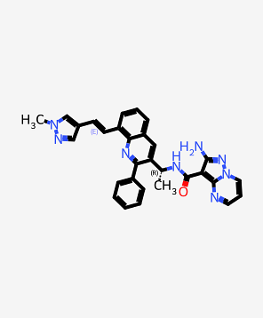 C[C@@H](NC(=O)c1c(N)nn2cccnc12)c1cc2cccc(/C=C/c3cnn(C)c3)c2nc1-c1ccccc1